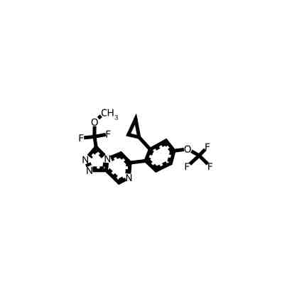 COC(F)(F)c1nnc2cnc(-c3ccc(OC(F)(F)F)cc3C3CC3)cn12